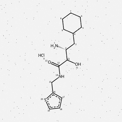 Cl.N[C@H](CC1CCCCC1)C(O)C(=O)NCc1cccs1